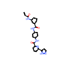 C=CC(=O)Nc1cccc(C(=O)Nc2ccc(NC(=O)c3cccc(-c4ccn[nH]4)n3)cc2)c1